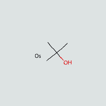 CC(C)(C)O.[Os]